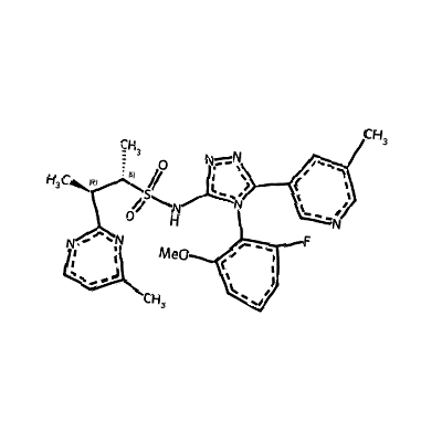 COc1cccc(F)c1-n1c(NS(=O)(=O)[C@@H](C)[C@H](C)c2nccc(C)n2)nnc1-c1cncc(C)c1